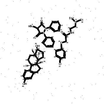 CCCCC1C(=O)N(c2ccccc2)N(c2ccccc2)C1=O.CCN(CC)CCNC(=O)COc1ccc(Cl)cc1.C[C@]12CC[C@@H]3c4ccc(O)cc4CC[C@H]3[C@@H]1CC[C@@H]2O